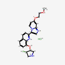 COCCOc1ccn2c(-c3ccc4cccc(O[C@H]5CNC[C@H]5F)c4n3)cnc2c1.Cl